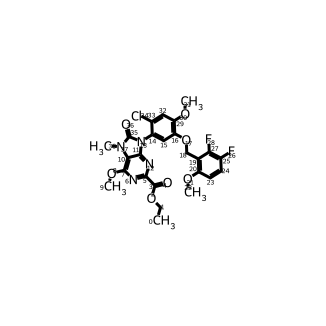 CCOC(=O)c1nc(OC)c2c(n1)n(-c1cc(OCc3c(OC)ccc(F)c3F)c(OC)cc1Cl)c(=O)n2C